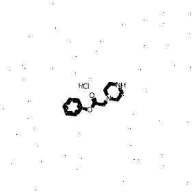 Cl.O=C(CN1CCNCC1)Oc1ccccc1